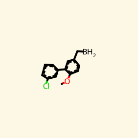 BCc1ccc(OC)c(-c2cccc(Cl)c2)c1